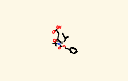 CC(C)C[C@H]1[C@H](CC(=O)O)OC(C)(C)N1C(=O)OCc1ccccc1